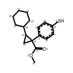 COC(=O)C1(c2ccc(S)cc2)CC1C1CCCCC1